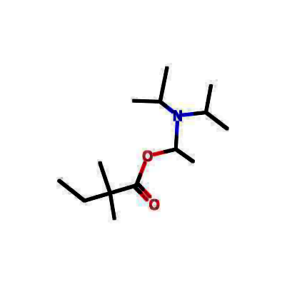 CCC(C)(C)C(=O)OC(C)N(C(C)C)C(C)C